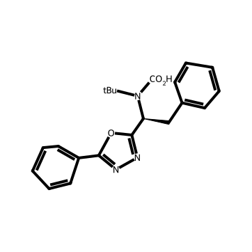 CC(C)(C)N(C(=O)O)[C@@H](Cc1ccccc1)c1nnc(-c2ccccc2)o1